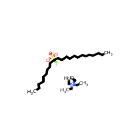 CCCCCCCCCCCCCC(F)(CCCCCCCCC)S(=O)(=O)[O-].CC[N+](CC)(CC)CC